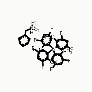 CC[NH+](CC)Cc1ccccc1.Cc1c(F)cc(F)cc1[B-](c1cc(F)cc(F)c1C)(c1cc(F)cc(F)c1C)c1cc(F)cc(F)c1C